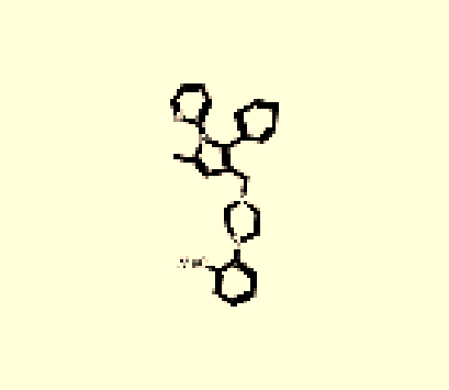 COc1ccccc1N1CCN(Cc2cc(C)n(-c3ccccn3)c2-c2ccccc2)CC1